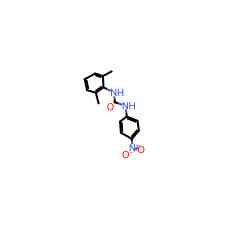 Cc1cccc(C)c1NC(=O)Nc1ccc([N+](=O)[O-])cc1